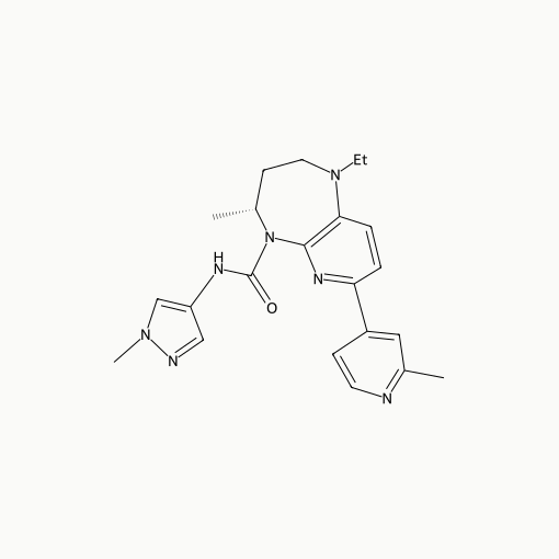 CCN1CC[C@@H](C)N(C(=O)Nc2cnn(C)c2)c2nc(-c3ccnc(C)c3)ccc21